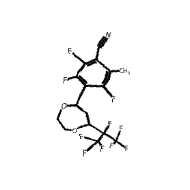 Cc1c(F)c(C2CC(C(F)(C(F)(F)F)C(F)(F)F)OCCO2)c(F)c(F)c1C#N